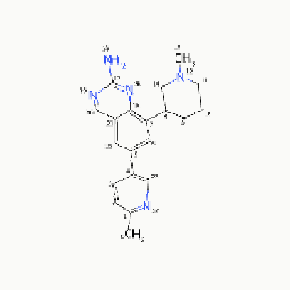 Cc1ccc(-c2cc(C3CCCN(C)C3)c3nc(N)ncc3c2)cn1